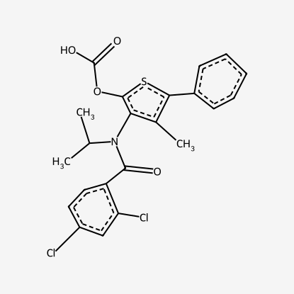 Cc1c(-c2ccccc2)sc(OC(=O)O)c1N(C(=O)c1ccc(Cl)cc1Cl)C(C)C